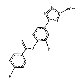 CCCCCCCCc1nnc(-c2ccc(OC(=O)c3ccc(F)cc3)c(F)c2)s1